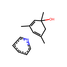 CC1=CC(C)(O)CC(C)=C1.c1ccncc1